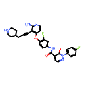 Nc1nccc(Oc2ccc(NC(=O)c3ccnn(-c4ccc(F)cc4)c3=O)cc2F)c1C#CCC1CCNCC1